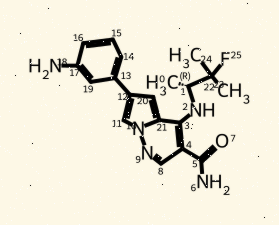 C[C@@H](Nc1c(C(N)=O)cnn2cc(-c3cccc(N)c3)cc12)C(C)(C)F